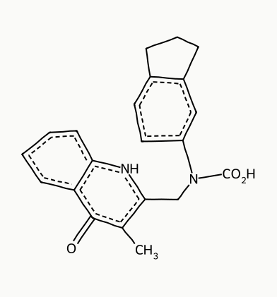 Cc1c(CN(C(=O)O)c2ccc3c(c2)CCC3)[nH]c2ccccc2c1=O